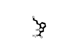 NC(=O)c1cc2cccc(/C=C/[C]=O)c2[nH]1